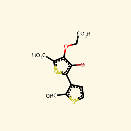 O=Cc1sccc1-c1sc(C(=O)O)c(OCC(=O)O)c1Br